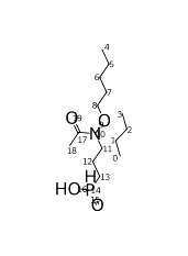 CCCC.CCCCCON(CCC[PH](=O)O)C(C)=O